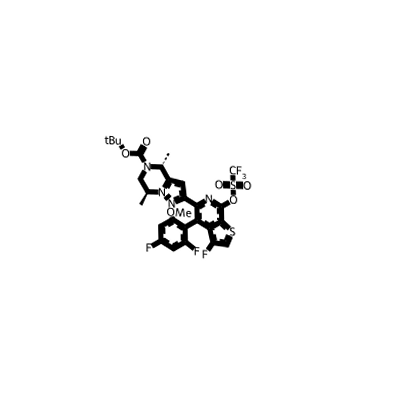 COc1cc(F)cc(F)c1-c1c(-c2cc3n(n2)[C@@H](C)CN(C(=O)OC(C)(C)C)[C@@H]3C)nc(OS(=O)(=O)C(F)(F)F)c2scc(F)c12